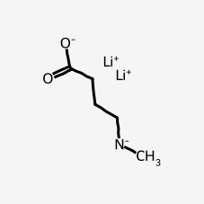 C[N-]CCCC(=O)[O-].[Li+].[Li+]